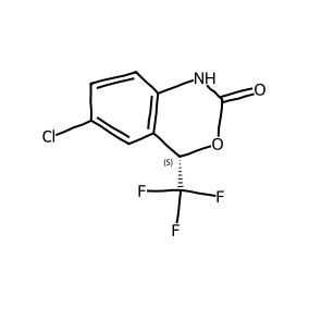 O=C1Nc2ccc(Cl)cc2[C@@H](C(F)(F)F)O1